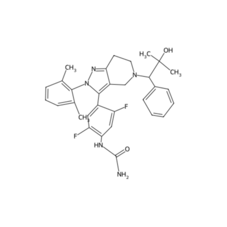 Cc1cccc(C)c1-n1nc2c(c1-c1cc(F)c(NC(N)=O)cc1F)CN(C(c1ccccc1)C(C)(C)O)CC2